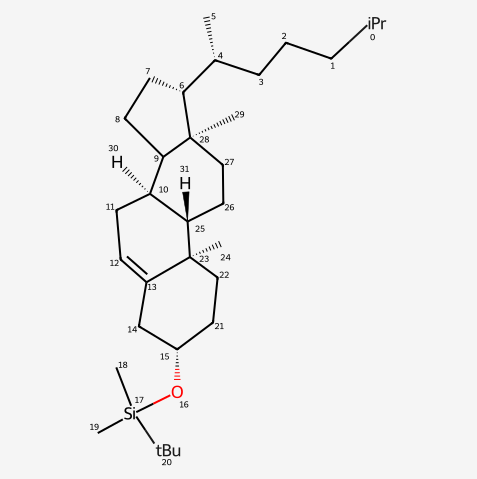 CC(C)CCC[C@@H](C)[C@H]1CCC2[C@@H]3CC=C4C[C@@H](O[Si](C)(C)C(C)(C)C)CC[C@]4(C)[C@H]3CC[C@@]21C